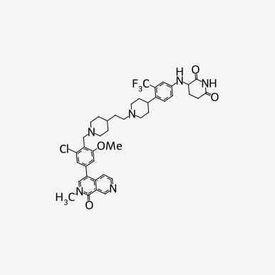 COc1cc(-c2cn(C)c(=O)c3cnccc23)cc(Cl)c1CN1CCC(CCN2CCC(c3ccc(NC4CCC(=O)NC4=O)cc3C(F)(F)F)CC2)CC1